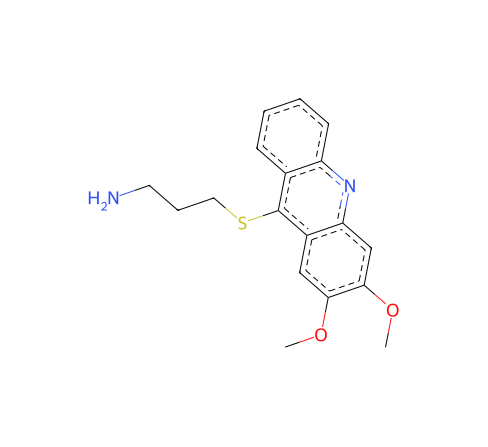 COc1cc2nc3ccccc3c(SCCCN)c2cc1OC